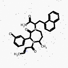 C/C=C/C(=O)N1C(C)CCN(C(Cc2cccc3ccccc23)C(N)=O)C(=O)C1c1cccc(Cl)c1